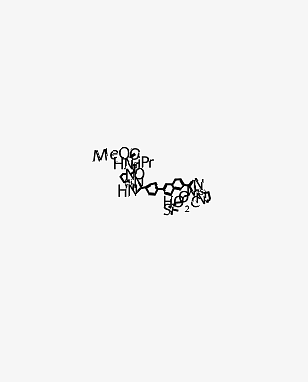 COC(=O)N[C@H](C(=O)N1CCC[C@H]1c1nc(-c2ccc(-c3ccc4cc(-c5cnc([C@@H]6CCCN6C(=O)O)n5COCC[Si](C)(C)C)ccc4c3)cc2)c[nH]1)C(C)C